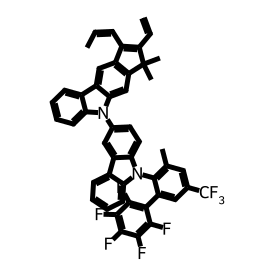 C=CC1=C(/C=C\C)c2cc3c4ccccc4n(-c4ccc5c(c4)c4ccccc4n5-c4c(C)cc(C(F)(F)F)cc4-c4c(F)c(F)c(F)c(F)c4F)c3cc2C1(C)C